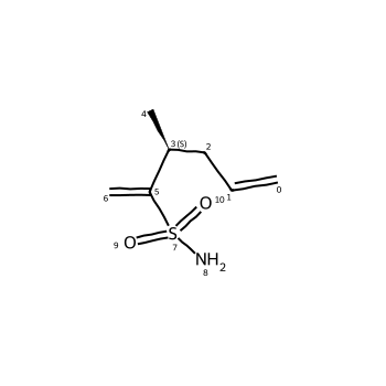 C=CC[C@H](C)C(=C)S(N)(=O)=O